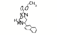 CCOC(=O)c1noc(CC(NC)c2ccc3ccccc3c2)n1